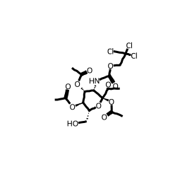 CC(=O)O[C@H]1[C@H](OC(C)=O)[C@H](NC(=O)OCC(Cl)(Cl)Cl)[C@](OC(C)=O)(C(C)=O)O[C@@H]1CO